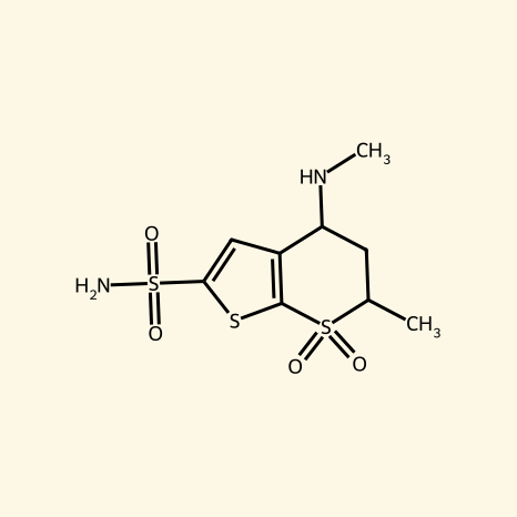 CNC1CC(C)S(=O)(=O)c2sc(S(N)(=O)=O)cc21